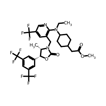 CCN(c1ncc(C(F)(F)F)cc1CN1C(=O)O[C@H](c2cc(C(F)(F)F)cc(C(F)(F)F)c2)[C@@H]1C)C1CCC(CC(=O)OC)CC1